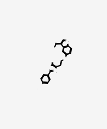 CCc1sc(-c2ccc(C(F)(F)F)cc2)nc1CCOc1ccc2[nH]cc(C(C)C(=O)O)c2c1